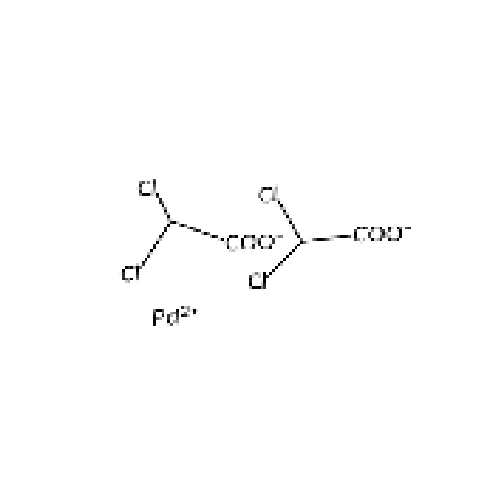 O=C([O-])C(Cl)Cl.O=C([O-])C(Cl)Cl.[Pd+2]